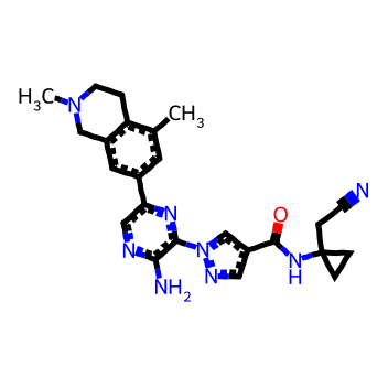 Cc1cc(-c2cnc(N)c(-n3cc(C(=O)NC4(CC#N)CC4)cn3)n2)cc2c1CCN(C)C2